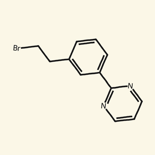 BrCCc1cccc(-c2ncccn2)c1